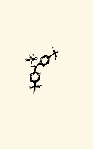 CS(=O)(=O)OC(c1ccc(C(F)(F)F)cn1)c1ccc(C(F)(F)F)cn1